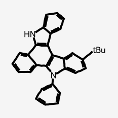 CC(C)(C)c1ccc2c(c1)c1c3c4ccccc4[nH]c3c3ccccc3c1n2-c1ccccc1